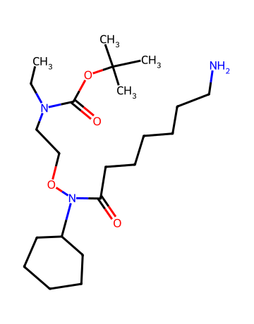 CCN(CCON(C(=O)CCCCCCN)C1CCCCC1)C(=O)OC(C)(C)C